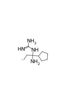 [CH2]CC(N)(NC(=N)N)C1CCCC1